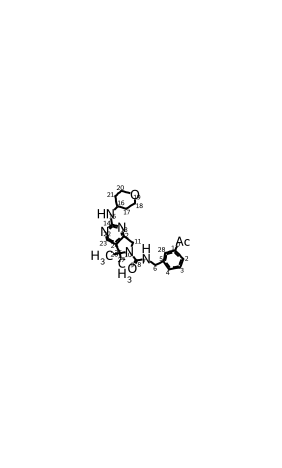 CC(=O)c1cccc(CNC(=O)N2Cc3nc(NC4CCOCC4)ncc3C2(C)C)c1